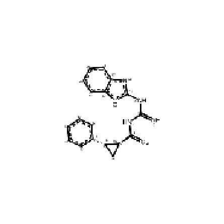 N=C(NC(=O)[C@H]1C[C@@H]1c1ccccc1)Nc1nc2ccccc2o1